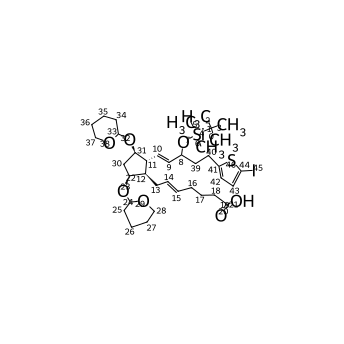 CC(C)(C)[Si](C)(C)OC(C=C[C@@H]1[C@@H](CC=CCCCC(=O)O)[C@@H](OC2CCCCO2)C[C@H]1OC1CCCCO1)CCc1ccc(I)s1